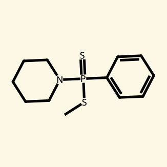 CSP(=S)(c1ccccc1)N1CCCCC1